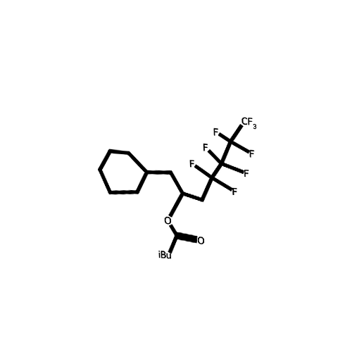 CCC(C)C(=O)OC(CC1CCCCC1)CC(F)(F)C(F)(F)C(F)(F)C(F)(F)F